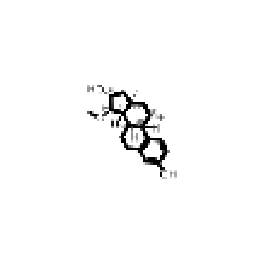 CO[C@@H]1[C@H]2[C@@H]3CCc4cc(O)ccc4[C@H]3[C@@H](F)C[C@]2(C)C[C@H]1O